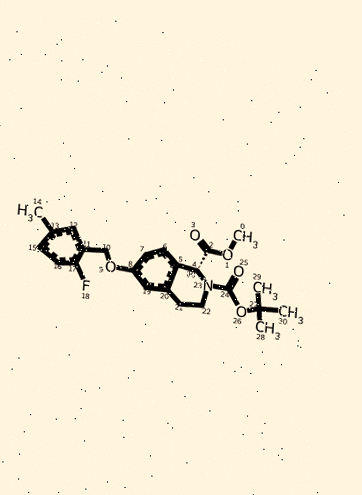 COC(=O)[C@H]1c2ccc(OCc3cc(C)ccc3F)cc2CCN1C(=O)OC(C)(C)C